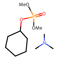 CN(C)C.COP(=O)(OC)OC1CCCCC1